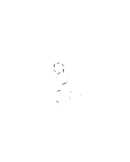 COc1cc2c(cc1Cl)NC1=C(S2)C(=O)N(NC(C)=O)C2(CCOCC2)C1